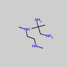 CC(C)(N)CN.CNCCNC